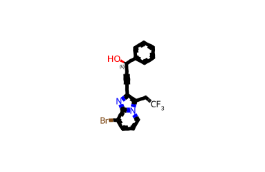 O[C@H](C#Cc1nc2c(Br)cccn2c1CC(F)(F)F)c1ccccc1